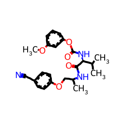 COc1cccc(OC(=O)N[C@H](C(=O)NC(C)COc2ccc(C#N)cc2)C(C)C)c1